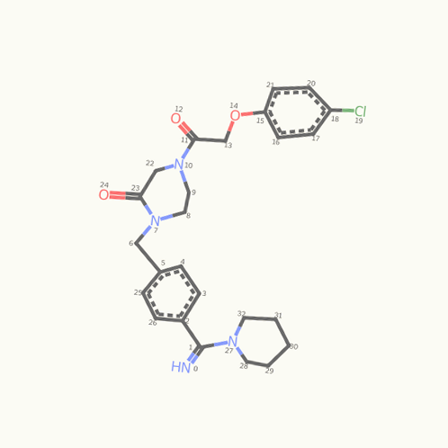 N=C(c1ccc(CN2CCN(C(=O)COc3ccc(Cl)cc3)CC2=O)cc1)N1CCCCC1